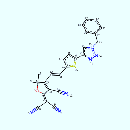 CC1(C)OC(=C(C#N)C#N)C(C#N)=C1/C=C/c1ccc(-c2cn(Cc3ccccc3)nn2)s1